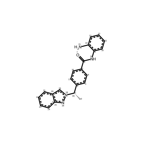 C[C@@H](c1ccc(C(=O)Nc2ccccc2N)cc1)n1cc2ccccc2n1